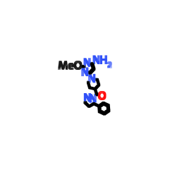 COc1nc(N)cc(N2CCC(C(=O)N3N=CCC3c3ccccc3)CC2)n1